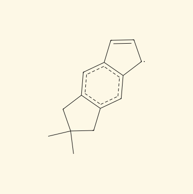 CC1(C)Cc2cc3c(cc2C1)C=C[CH]3